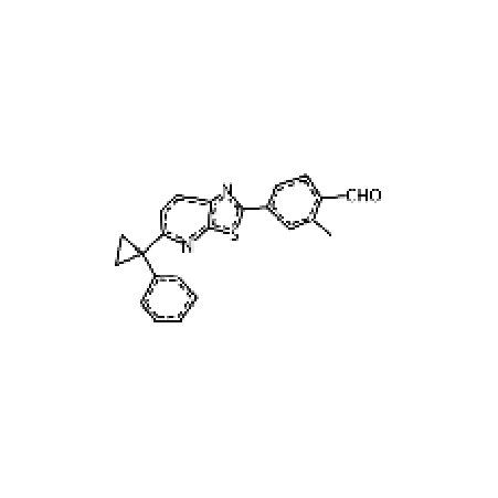 Cc1cc(-c2nc3ccc(C4(c5ccccc5)CC4)nc3s2)ccc1C=O